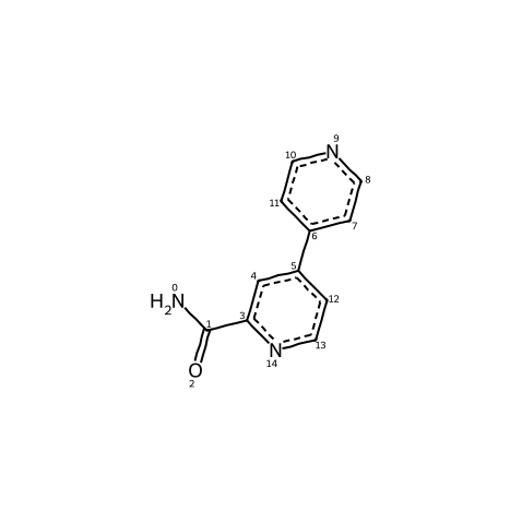 NC(=O)c1cc(-c2ccncc2)ccn1